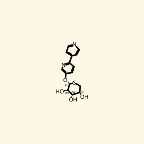 O[C@@H]1[C@@H](O)[C@H](Oc2ccc(-c3ccncc3)nc2)SC[C@H]1O